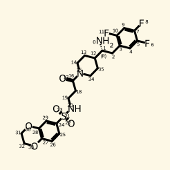 N[C@H](Cc1cc(F)c(F)cc1F)C1CCN(C(=O)CCNS(=O)(=O)c2ccc3c(c2)OCCO3)CC1